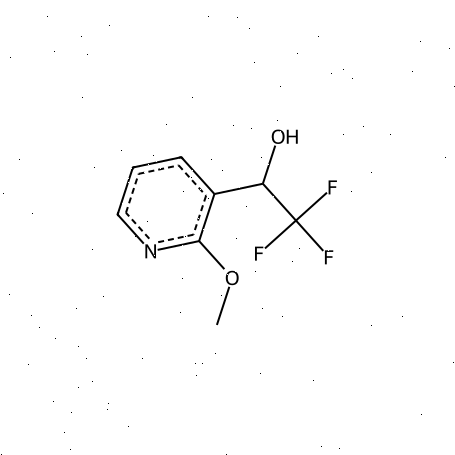 COc1ncccc1C(O)C(F)(F)F